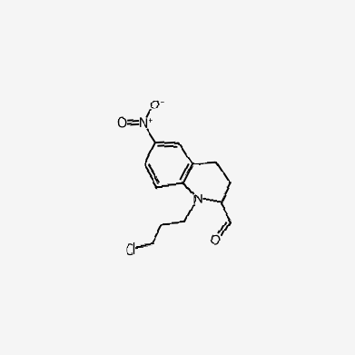 O=CC1CCc2cc([N+](=O)[O-])ccc2N1CCCCl